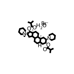 CC(C)C(=O)O[C@H]1C[C@@H]2CCC3C4C[C@H]([N+]5(C)CCCCC5)[C@H](OC(=O)C(C)C)[C@@]4(C)CCC3[C@@]2(C)C[C@@H]1N1CCCCC1.O.[Br-]